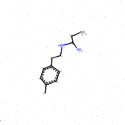 Cc1ccc(CCNC(N)C[N+](=O)[O-])cc1